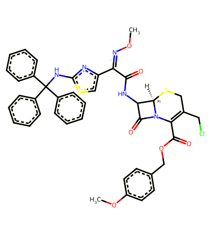 CO/N=C(\C(=O)NC1C(=O)N2C(C(=O)OCc3ccc(OC)cc3)=C(CCl)CS[C@H]12)c1csc(NC(c2ccccc2)(c2ccccc2)c2ccccc2)n1